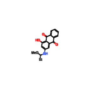 CCC(Nc1cc(O)c2c(c1)C(=O)c1ccccc1C2=O)OC